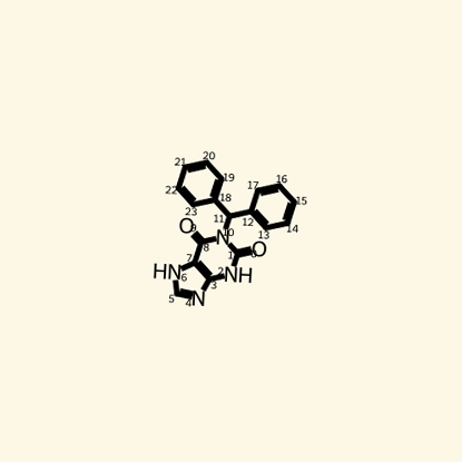 O=c1[nH]c2nc[nH]c2c(=O)n1C(c1ccccc1)c1ccccc1